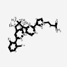 CC[C@H]1c2cc(-c3c(F)cccc3F)nnc2[C@](C)(c2ccnc(-c3ccn(CCC(N)=O)n3)n2)C1(C)C